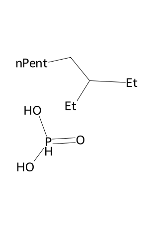 CCCCCCC(CC)CC.O=[PH](O)O